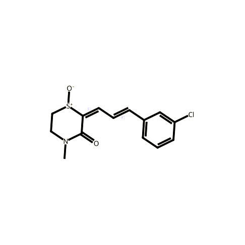 CN1CC[S+]([O-])/C(=C/C=C/c2cccc(Cl)c2)C1=O